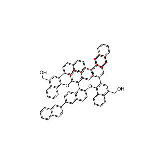 OCc1cc(-c2ccc3ccccc3c2)c(Oc2ccc3cc(-c4ccc5ccccc5c4)ccc3c2-c2c(Oc3c(-c4ccc5ccccc5c4)cc(CO)c4ccccc34)ccc3cc(-c4ccc5ccccc5c4)ccc23)c2ccccc12